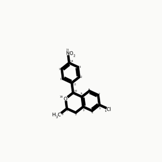 CC1Cc2cc(Cl)ccc2C(c2ccc([N+](=O)[O-])cc2)O1